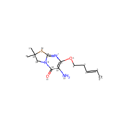 CCC=CCCOc1nc2n(c(=O)c1N)CC(C)(C)S2